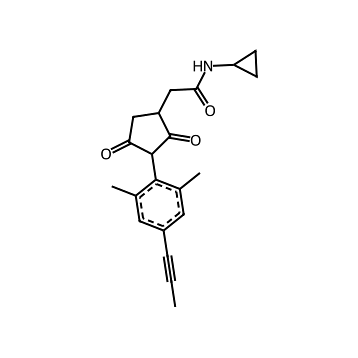 CC#Cc1cc(C)c(C2C(=O)CC(CC(=O)NC3CC3)C2=O)c(C)c1